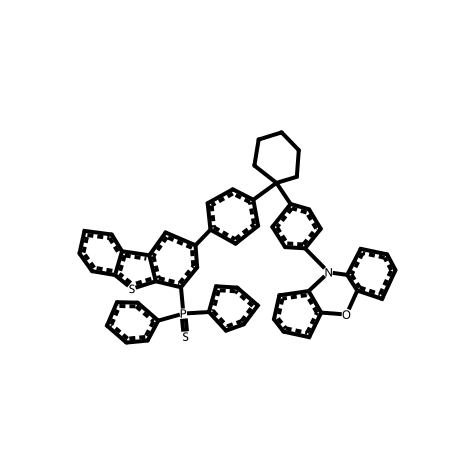 S=P(c1ccccc1)(c1ccccc1)c1cc(-c2ccc(C3(c4ccc(N5c6ccccc6Oc6ccccc65)cc4)CCCCC3)cc2)cc2c1sc1ccccc12